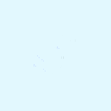 C=C(C)CNCCc1c(C(C)C)c(Cl)nc2ncnn12